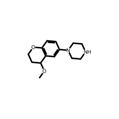 COC1CCOc2ccc(N3CCNCC3)cc21